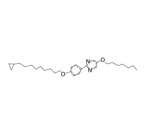 CCCCCCCOc1cnc(-c2ccc(OCCCCCCCCCC3CC3)cc2)nc1